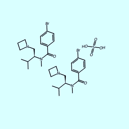 CC(C)[C@@H](CN1CCC1)N(C)C(=O)c1ccc(Br)cc1.CC(C)[C@@H](CN1CCC1)N(C)C(=O)c1ccc(Br)cc1.O=S(=O)(O)O